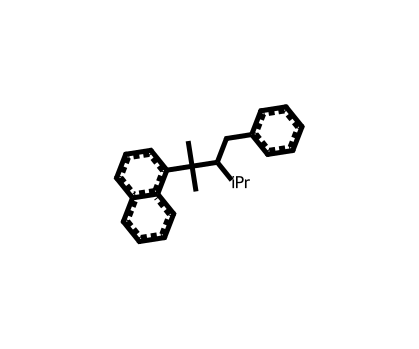 CC(C)C(Cc1ccccc1)C(C)(C)c1cccc2ccccc12